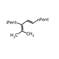 CCCCCC=CC(=C(C)C)C(C)CCC